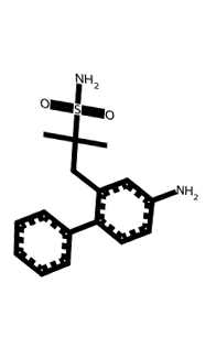 CC(C)(Cc1cc(N)ccc1-c1ccccc1)S(N)(=O)=O